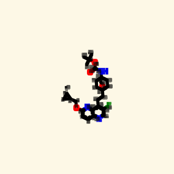 C[C@H]1C[C@@H]1COc1ccc2ncc(F)c(CCC34CCC(NC(=O)OC(C)(C)C)(CC3)CO4)c2n1